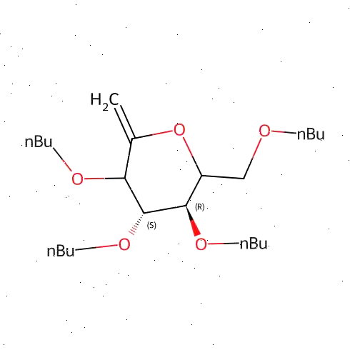 C=C1OC(COCCCC)[C@@H](OCCCC)[C@H](OCCCC)C1OCCCC